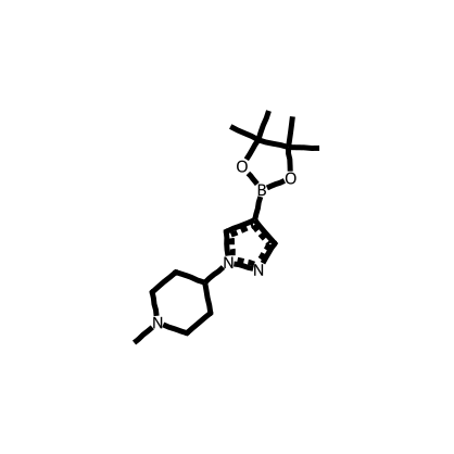 CN1CCC(n2cc(B3OC(C)(C)C(C)(C)O3)cn2)CC1